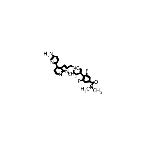 CN(C)C(=O)c1cc(F)c(C2=CCN(Cc3cc4c(-c5ccc(N)cn5)ccnc4n3C)CC2)c(F)c1